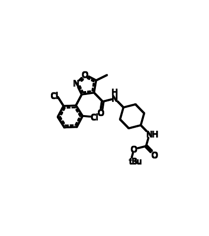 Cc1onc(-c2c(Cl)cccc2Cl)c1C(=O)NC1CCC(NC(=O)OC(C)(C)C)CC1